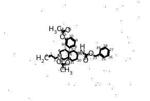 C=CCN1CC[C@@]2(c3cccc(OC(C)=O)c3)C[C@H](NC(=O)OCc3ccccc3)CC[C@]2(OC(C)=O)C1